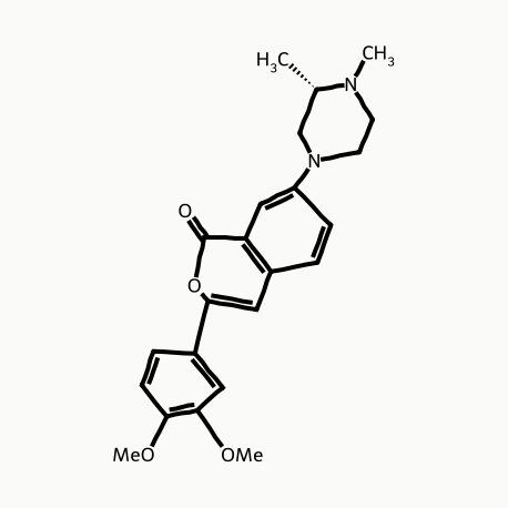 COc1ccc(-c2cc3ccc(N4CCN(C)[C@@H](C)C4)cc3c(=O)o2)cc1OC